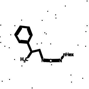 CCCCCCN=C=NCC(C)c1ccccc1